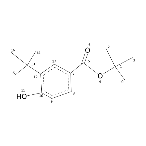 CC(C)(C)OC(=O)c1ccc(O)c(C(C)(C)C)c1